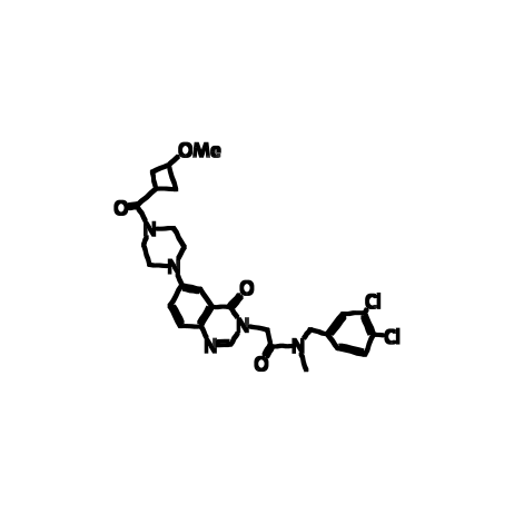 COC1CC(C(=O)N2CCN(c3ccc4ncn(CC(=O)N(C)Cc5ccc(Cl)c(Cl)c5)c(=O)c4c3)CC2)C1